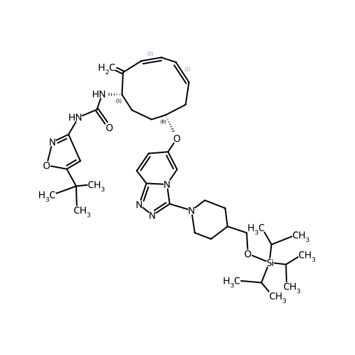 C=C1/C=C\C=C/C[C@H](Oc2ccc3nnc(N4CCC(CO[Si](C(C)C)(C(C)C)C(C)C)CC4)n3c2)CC[C@@H]1NC(=O)Nc1cc(C(C)(C)C)on1